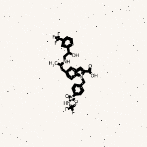 CC(Cc1ccc2c(c1)cc(C(=O)O)n2Cc1ccc(S(=O)(=O)NC(F)(F)F)cc1)NCC(O)c1cccc(C(F)(F)F)c1